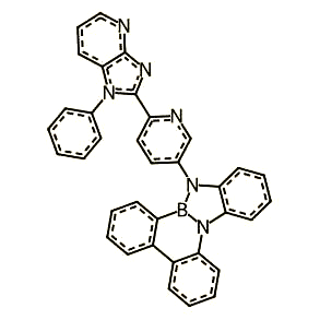 c1ccc(-n2c(-c3ccc(N4B5c6ccccc6-c6ccccc6N5c5ccccc54)cn3)nc3ncccc32)cc1